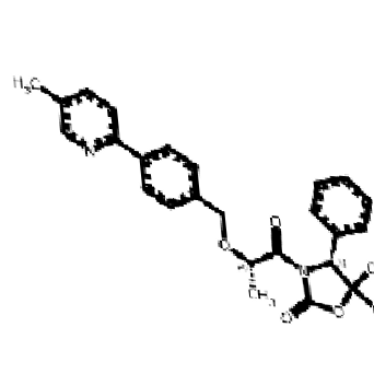 Cc1ccc(-c2ccc(CO[C@@H](C)C(=O)N3C(=O)OC(C)(C)[C@@H]3c3ccccc3)cc2)nc1